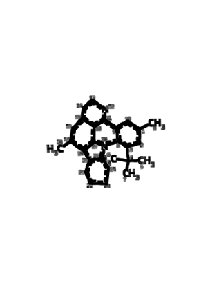 Cc1cc(C(C)(C)C)c2c(c1)c1nccc3cc(C)c4c5ccccc5n2c4c31